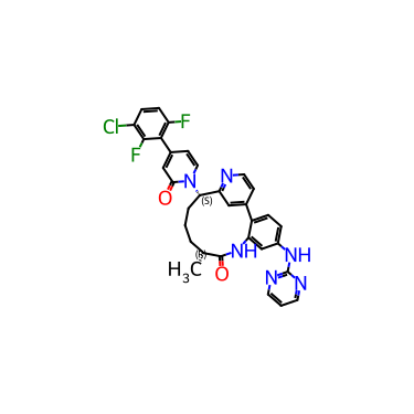 C[C@@H]1CCC[C@H](n2ccc(-c3c(F)ccc(Cl)c3F)cc2=O)c2cc(ccn2)-c2ccc(Nc3ncccn3)cc2NC1=O